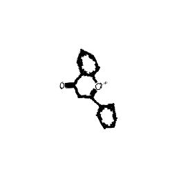 O=C1CC(c2ccccc2)=[O+]c2ccccc21